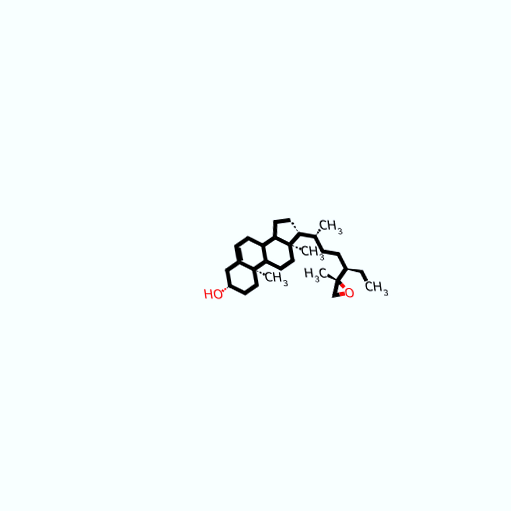 CC[C@H](CC[C@@H](C)[C@H]1CCC2C3CC=C4C[C@@H](O)CC[C@]4(C)C3CC[C@@]21C)[C@@]1(C)CO1